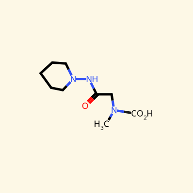 CN(CC(=O)NN1CCCCC1)C(=O)O